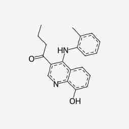 CCCC(=O)c1cnc2c(O)cccc2c1Nc1ccccc1C